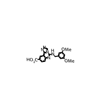 COc1cc(CNc2nc3ccc(C(=O)O)cc3c3nncn23)cc(OC)c1